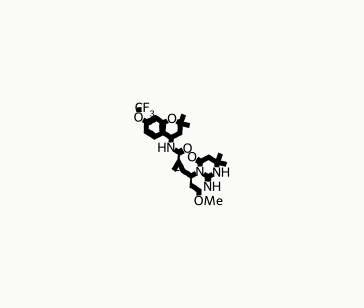 COCC[C@@H]([C@@H]1C[C@H]1C(=O)NC1CC(C)(C)Oc2cc(OC(F)(F)F)ccc21)N1C(=N)NC(C)(C)CC1=O